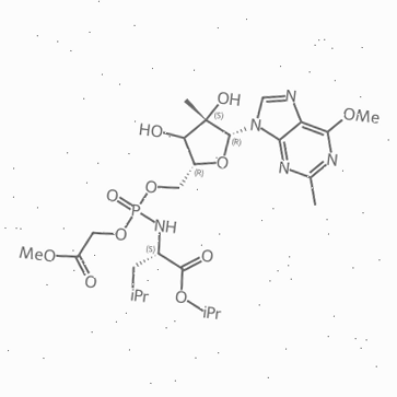 COC(=O)COP(=O)(N[C@@H](CC(C)C)C(=O)OC(C)C)OC[C@H]1O[C@@H](n2cnc3c(OC)nc(C)nc32)[C@@](C)(O)C1O